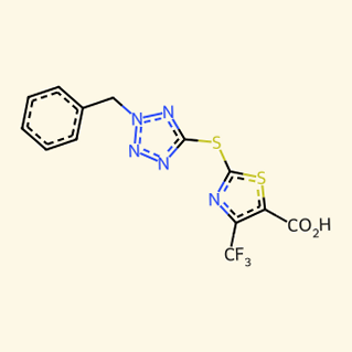 O=C(O)c1sc(Sc2nnn(Cc3ccccc3)n2)nc1C(F)(F)F